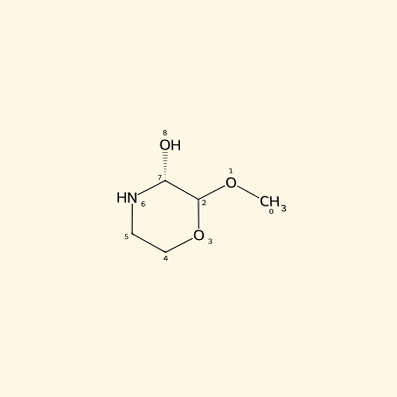 COC1OCCN[C@@H]1O